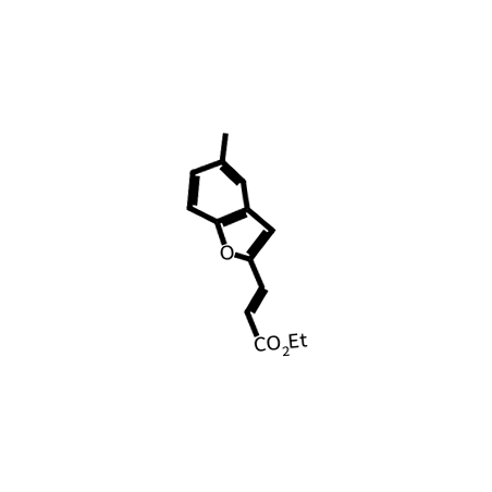 CCOC(=O)C=Cc1cc2cc(C)ccc2o1